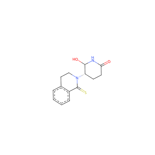 O=C1CC[C@H](N2CCc3ccccc3C2=S)C(O)N1